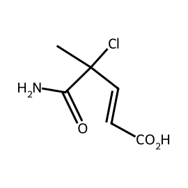 CC(Cl)(C=CC(=O)O)C(N)=O